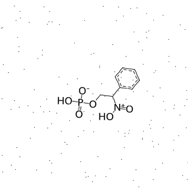 O=[N+](O)C(COP(=O)([O-])O)c1ccccc1